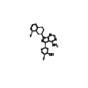 Nc1ncnc2c1c(-c1ccc(F)c(O)c1)nn2C1CCc2cccc(F)c2C1